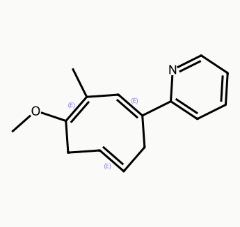 CO/C1=C(C)/C=C(/c2ccccn2)C/C=C/C1